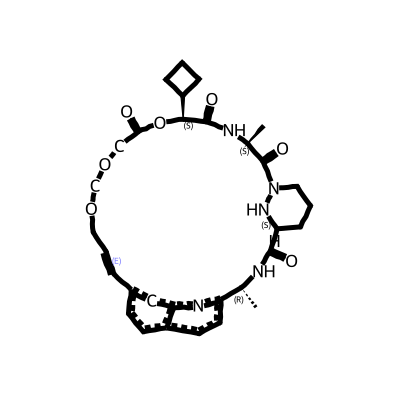 C[C@@H]1NC(=O)[C@H](C2CCC2)OC(=O)COCOC/C=C/c2ccc3ccc(nc3c2)[C@@H](C)NC(=O)[C@@H]2CCCN(N2)C1=O